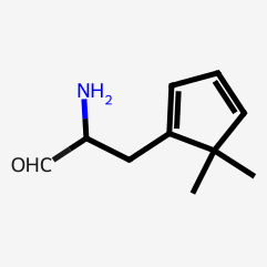 CC1(C)C=CC=C1CC(N)C=O